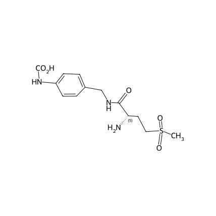 CS(=O)(=O)CC[C@H](N)C(=O)NCc1ccc(NC(=O)O)cc1